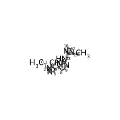 CCCn1ncc(-c2ccnc(NCc3nccn3CC)n2)c1C